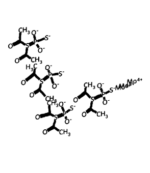 CC(=O)S(C(C)=O)=P([O-])([O-])[S-].CC(=O)S(C(C)=O)=P([O-])([O-])[S-].CC(=O)S(C(C)=O)=P([O-])([O-])[S-].CC(=O)S(C(C)=O)=P([O-])([O-])[S-].[Mo+4].[Mo+4].[Mo+4]